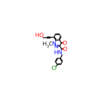 Cn1nc(C(=O)NCc2ccc(Cl)cc2)c(=O)c2cccc(C#CCO)c21